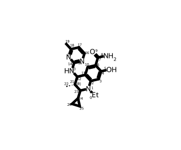 CCN1c2cc(O)c(C(N)=O)cc2C(Nc2nccc(C)n2)[C@@H](C)C1C1CC1